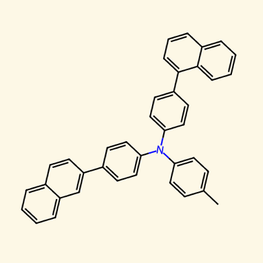 Cc1ccc(N(c2ccc(-c3ccc4ccccc4c3)cc2)c2ccc(-c3cccc4ccccc34)cc2)cc1